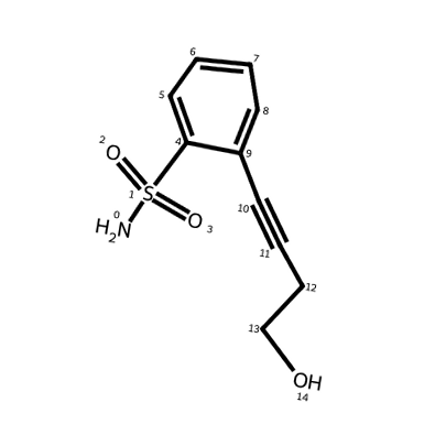 NS(=O)(=O)c1ccccc1C#CCCO